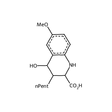 CCCCCC1C(C(=O)O)Nc2ccc(OC)cc2C1O